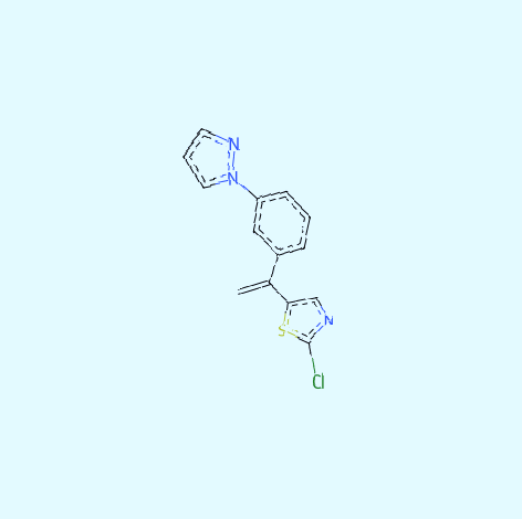 C=C(c1cccc(-n2cccn2)c1)c1cnc(Cl)s1